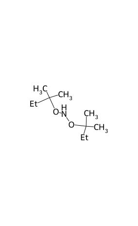 CCC(C)(C)ONOC(C)(C)CC